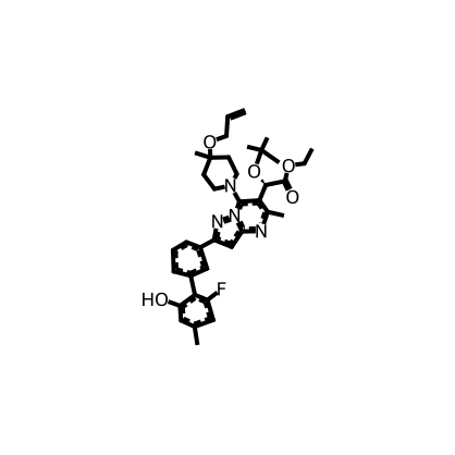 C=CCOC1(C)CCN(c2c([C@H](OC(C)(C)C)C(=O)OCC)c(C)nc3cc(-c4cccc(-c5c(O)cc(C)cc5F)c4)nn23)CC1